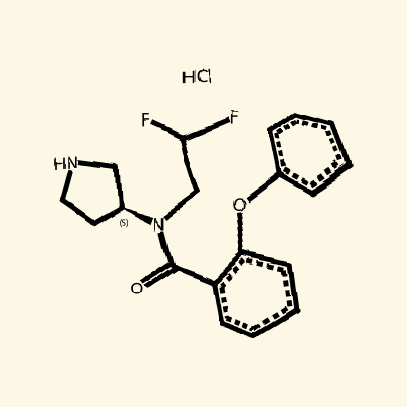 Cl.O=C(c1ccccc1Oc1ccccc1)N(CC(F)F)[C@H]1CCNC1